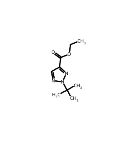 CCOC(=O)c1cnn(C(C)(C)C)n1